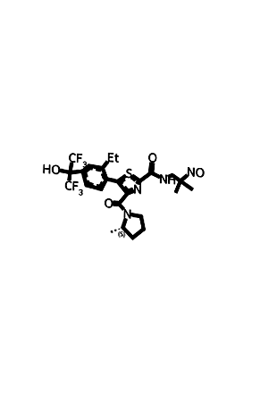 CCc1cc(C(O)(C(F)(F)F)C(F)(F)F)ccc1-c1sc(C(=O)NCC(C)(C)N=O)nc1C(=O)N1CCC[C@@H]1C